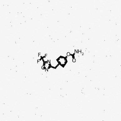 NC(=O)Oc1ccc(Cc2noc(C(F)(F)F)n2)cc1